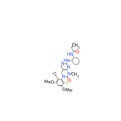 C=CC(=O)NC1CCCCC1Nc1ncc2c(n1)N(C)C(=O)N(c1c(F)c(OC)cc(OC)c1C1CC1)C2